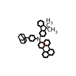 CC1(C)c2ccccc2-c2cc(N(c3ccc(-c4cccc5cccc(-c6ccccc6)c45)cc3)c3ccc(C45CC6CC(CC(C6)C4)C5)cc3)ccc21